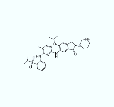 Cc1cnc(Nc2cc3c(cc2OC(C)C)CC([C@@H]2CCCNC2)C3=O)nc1Nc1ccccc1S(=O)(=O)C(C)C